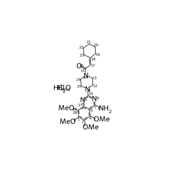 COc1c(OC)c(OC)c2c(N)nc(N3CCN(C(=O)C=C4CCCCC4)CC3)nc2c1OC.Cl.O